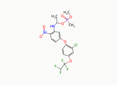 COP(C)(=O)OC(C)Nc1cc(Oc2ccc(OC(F)(F)C(F)F)cc2Cl)ccc1[N+](=O)[O-]